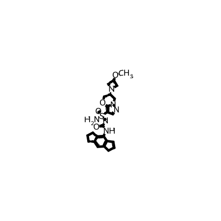 COC1CN([C@H]2COc3c(S(N)(=O)=NC(=O)Nc4c5c(cc6c4CCC6)CCC5)cnn3C2)C1